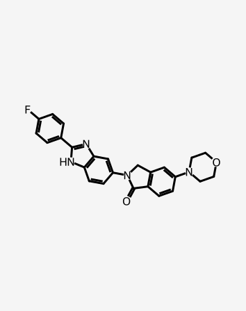 O=C1c2ccc(N3CCOCC3)cc2CN1c1ccc2[nH]c(-c3ccc(F)cc3)nc2c1